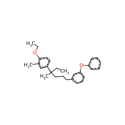 CCOc1ccc(C(C)(CC)CCCc2cccc(Oc3ccccc3)c2)cc1C